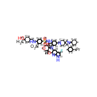 CC(C)c1ccccc1[C@@H]1CCCC[C@@H]1N1CC2(CCN(c3ccc(C(=O)NS(=O)(=O)c4ccc(NCC5CCC(C)(O)CC5)c([N+](=O)[O-])c4)c(N4c5cc6c(F)c[nH]c6nc5O[C@H]5COCC[C@@H]54)c3)CC2)C1